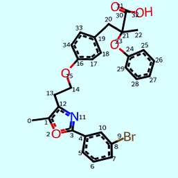 Cc1oc(-c2cccc(Br)c2)nc1CCOc1ccc(CC(C)(Oc2ccccc2)C(=O)O)cc1